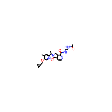 CC(=O)NCCNC(=O)c1nccc2c1CN(C(C)c1cc(C)c(OCC3CC3)cn1)C2=O